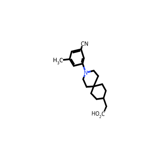 Cc1cc(C#N)cc(N2CCC3(CCC(CC(=O)O)CC3)CC2)c1